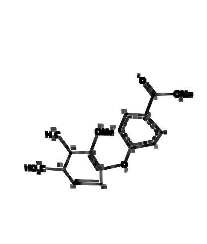 COC(=O)c1ccc(OC2=C(OC)C(C)C(C(=O)O)C=C2)cc1